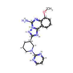 COc1cccc2c1nc(N)n1nc([C@@H]3CCCN(c4ncccn4)C3)nc21